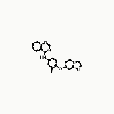 Cc1cc(Nc2ncnc3ccccc23)ccc1Oc1ccn2ccnc2c1